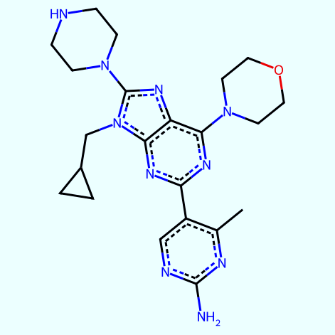 Cc1nc(N)ncc1-c1nc(N2CCOCC2)c2nc(N3CCNCC3)n(CC3CC3)c2n1